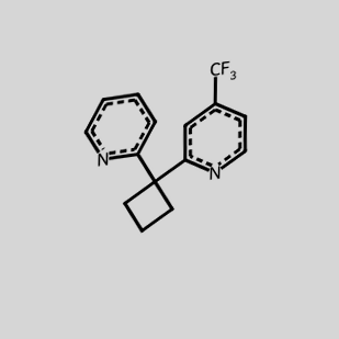 FC(F)(F)c1ccnc(C2(c3ccccn3)CCC2)c1